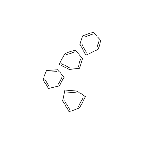 c1ccccc1.c1ccccc1.c1ccccc1.c1ccccc1